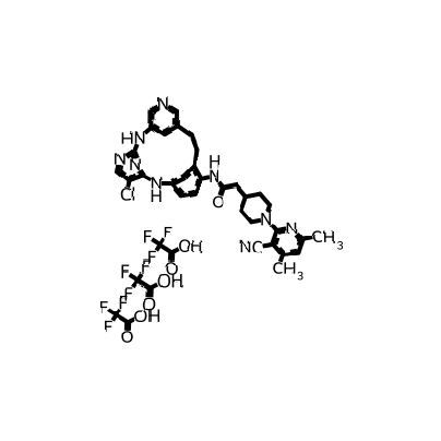 Cc1cc(C)c(C#N)c(N2CCC(CC(=O)Nc3ccc4cc3CCc3cncc(c3)Nc3ncc(Cl)c(n3)N4)CC2)n1.O=C(O)C(F)(F)F.O=C(O)C(F)(F)F.O=C(O)C(F)(F)F